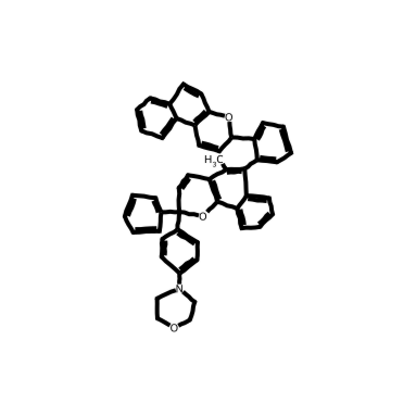 Cc1c2c(c3ccccc3c1-c1ccccc1C1C=Cc3c(ccc4ccccc34)O1)OC(c1ccccc1)(c1ccc(N3CCOCC3)cc1)C=C2